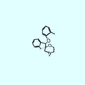 Cc1ccccc1O[C@@H]1c2ccccc2C[C@]12CN(C)CCO2